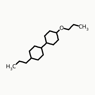 CCCOC1CCC(C2CCC(CCC)CC2)CC1